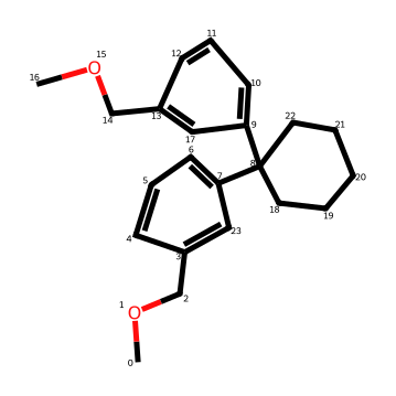 COCc1cccc(C2(c3cccc(COC)c3)CCCCC2)c1